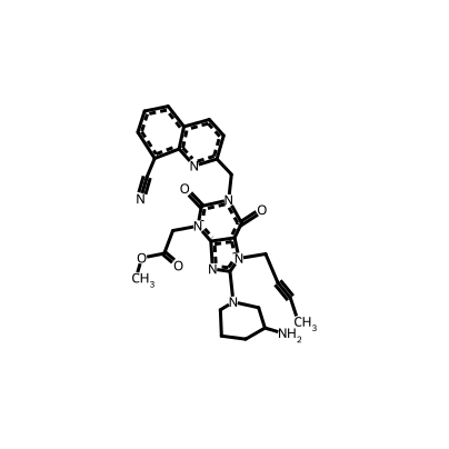 CC#CCn1c(N2CCCC(N)C2)nc2c1c(=O)n(Cc1ccc3cccc(C#N)c3n1)c(=O)n2CC(=O)OC